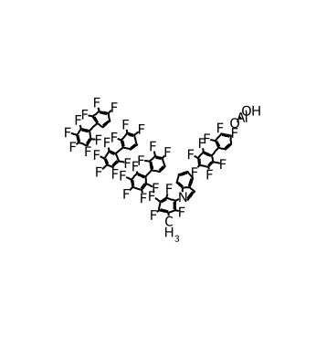 Cc1c(F)c(F)c(F)c(-n2ccc3ccccc32)c1F.Fc1ccc(-c2c(F)c(F)c(F)c(F)c2F)c(F)c1F.Fc1ccc(-c2c(F)c(F)c(F)c(F)c2F)c(F)c1F.Fc1ccc(-c2c(F)c(F)c(F)c(F)c2F)c(F)c1F.Fc1ccc(-c2c(F)c(F)c(F)c(F)c2F)c(F)c1F.[O]=[Al][OH]